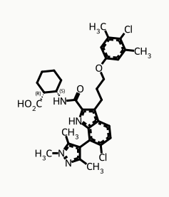 Cc1cc(OCCCc2c(C(=O)N[C@H]3CCCC[C@H]3C(=O)O)[nH]c3c(-c4c(C)nn(C)c4C)c(Cl)ccc23)cc(C)c1Cl